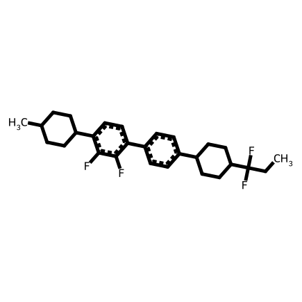 CCC(F)(F)C1CCC(c2ccc(-c3ccc(C4CCC(C)CC4)c(F)c3F)cc2)CC1